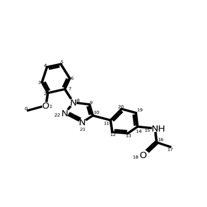 COc1ccccc1-n1cc(-c2ccc(NC(C)=O)cc2)nn1